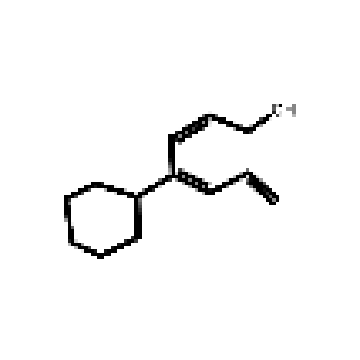 C=C/C=C(\C=C/CO)C1CCCCC1